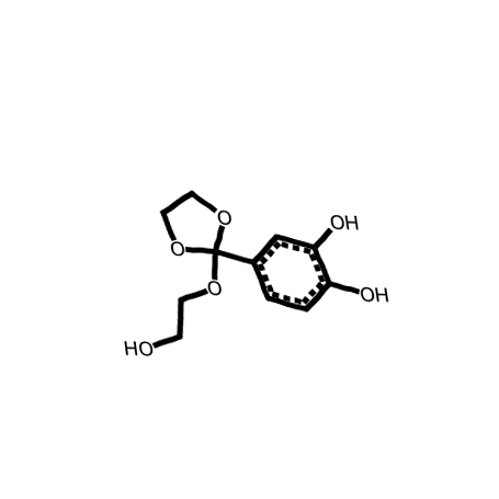 OCCOC1(c2ccc(O)c(O)c2)OCCO1